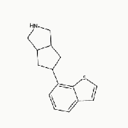 c1cc(C2CC3CNCC3C2)c2sccc2c1